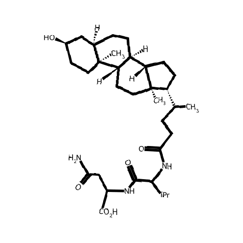 CC(C)C(NC(=O)CCC(C)[C@H]1CC[C@H]2[C@@H]3CC[C@@H]4C[C@H](O)CC[C@]4(C)[C@H]3CC[C@]12C)C(=O)NC(CC(N)=O)C(=O)O